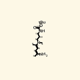 C/C(N)=C/C=C(\C)N(C)CCCNC(=O)OC(C)(C)C